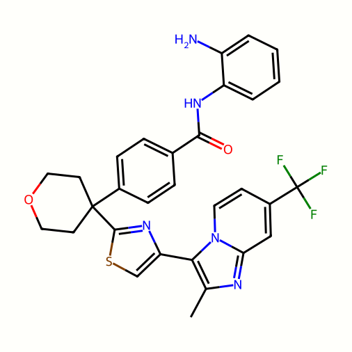 Cc1nc2cc(C(F)(F)F)ccn2c1-c1csc(C2(c3ccc(C(=O)Nc4ccccc4N)cc3)CCOCC2)n1